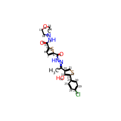 C/C(=N\NC(=O)c1ccc(C(=O)NN2CCOCC2)s1)c1csc(-c2ccc(Cl)cc2)c1O